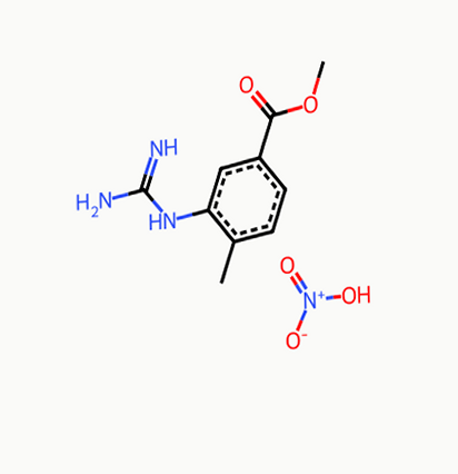 COC(=O)c1ccc(C)c(NC(=N)N)c1.O=[N+]([O-])O